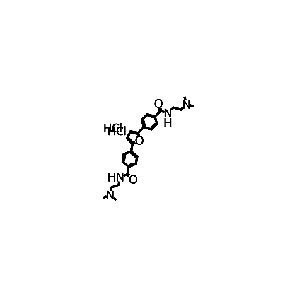 CN(C)CCNC(=O)c1ccc(-c2ccc(-c3ccc(C(=O)NCCN(C)C)cc3)o2)cc1.Cl.Cl